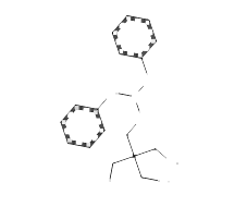 OCC(CO)(CO)COP(Oc1ccccc1)Oc1ccccc1